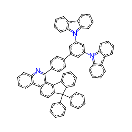 c1ccc(C2(c3ccccc3)c3ccccc3-c3c2ccc2c3c(-c3ccc(-c4cc(-n5c6ccccc6c6ccccc65)cc(-n5c6ccccc6c6ccccc65)c4)cc3)nc3ccccc32)cc1